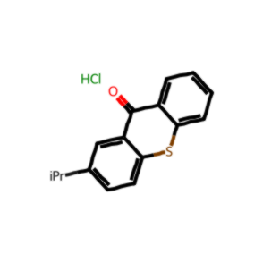 CC(C)c1ccc2sc3ccccc3c(=O)c2c1.Cl